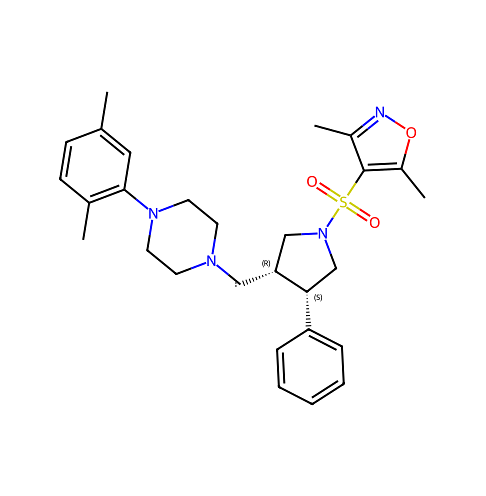 Cc1ccc(C)c(N2CCN([C][C@@H]3CN(S(=O)(=O)c4c(C)noc4C)C[C@@H]3c3ccccc3)CC2)c1